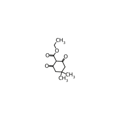 CCOC(=O)C1C(=O)CC(C)(C)CC1=O